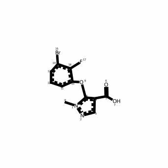 Cn1ncc(C(=O)O)c1Oc1cccc(Br)c1F